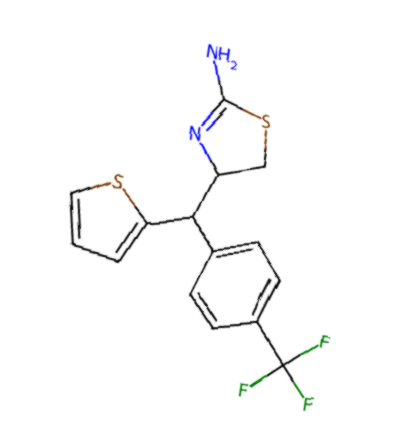 NC1=NC(C(c2ccc(C(F)(F)F)cc2)c2cccs2)CS1